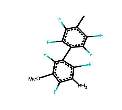 Bc1c(F)c(OC)c(F)c(-c2c(F)c(F)c(C)c(F)c2F)c1F